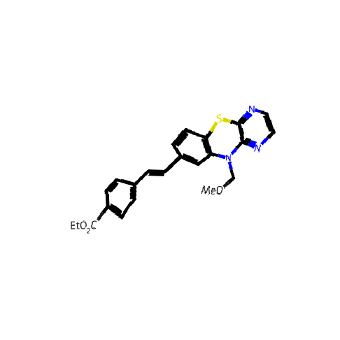 CCOC(=O)c1ccc(/C=C/c2ccc3c(c2)N(COC)c2nccnc2S3)cc1